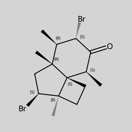 C[C@@H]1C(=O)[C@@H](Br)[C@H](C)[C@@]2(C)C[C@H](Br)[C@]3(C)CC[C@@]132